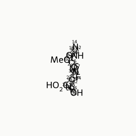 COc1cc2c(cc1C(=O)NC1CCN(C)CC1)sc1nc(-c3ccc([C@H]4C[C@@H](O)CN4C(=O)O)cc3F)cn12